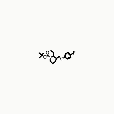 CCC1C(COc2ccc(F)cc2)CCCN1C(=O)OC(C)(C)C